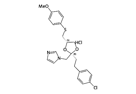 COc1ccc(SC[C@@H]2CO[C@@](CCc3ccc(Cl)cc3)(Cn3ccnc3)O2)cc1.Cl